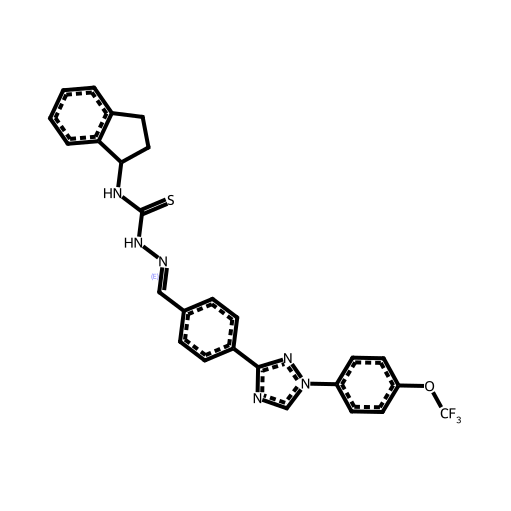 FC(F)(F)Oc1ccc(-n2cnc(-c3ccc(/C=N/NC(=S)NC4CCc5ccccc54)cc3)n2)cc1